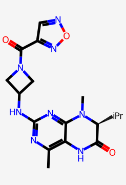 Cc1nc(NC2CN(C(=O)c3cnon3)C2)nc2c1NC(=O)[C@H](C(C)C)N2C